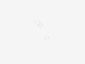 CC(=O)c1ccc(OCCCC(C)Oc2cccc3ccc(N)nc23)c(C)c1